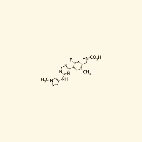 Cc1cc(-c2ncnc(Nc3cnn(C)c3)n2)c(F)cc1CNC(=O)O